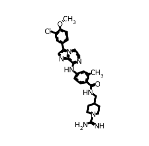 COc1ccc(-c2cnc3c(Nc4ccc(C(=O)NCC5CCN(C(=N)N)CC5)c(C)c4)nccn23)cc1Cl